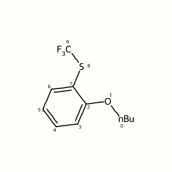 CCCCOc1cc[c]cc1SC(F)(F)F